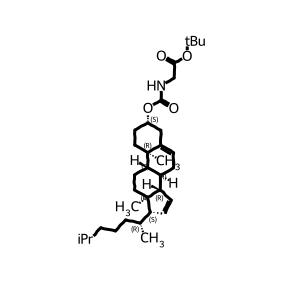 CC(C)CCC[C@@H](C)[C@H]1C=C[C@H]2[C@@H]3CC=C4C[C@@H](OC(=O)NCC(=O)OC(C)(C)C)CC[C@]4(C)[C@H]3CC[C@]12C